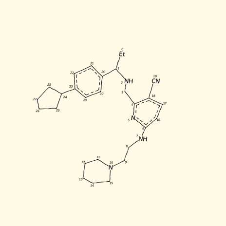 CCC(NCc1nc(NCCN2CCCCC2)ccc1C#N)c1ccc(C2CCCC2)cc1